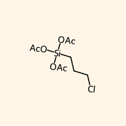 CC(=O)O[Si](CCCCl)(OC(C)=O)OC(C)=O